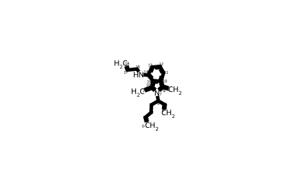 C=CCCC(C=C)n1c(=C)c2cccc(NCC=C)c2c1=C